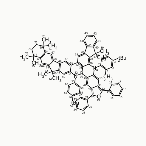 Cc1cc(C(C)(C)C)ccc1N1c2cc3c(-c4ccccc4)oc(-c4ccccc4)c3cc2B2c3c(cc4c(c31)C(C)(C)c1ccccc1-4)-c1cc3c(cc1N2c1ccc(C(C)(C)C)cc1)C(C)(C)c1cc2c(cc1-3)C(C)(C)CCC2(C)C